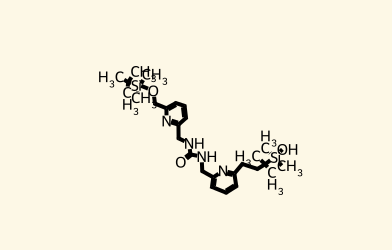 CC(C)(CCc1cccc(CNC(=O)NCc2cccc(CO[Si](C)(C)C(C)(C)C)n2)n1)[Si](C)(C)O